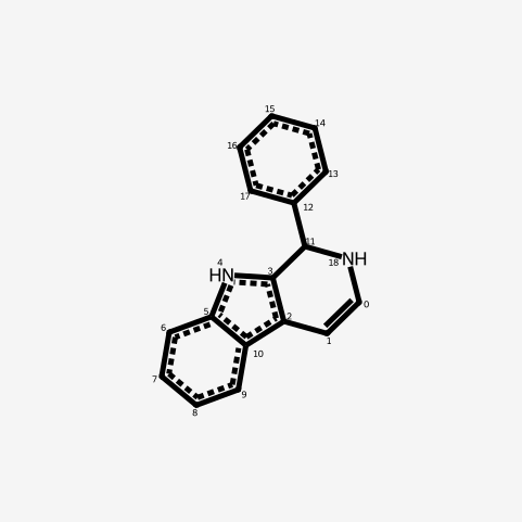 C1=Cc2c([nH]c3ccccc23)C(c2ccccc2)N1